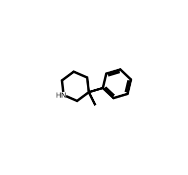 CC1(c2ccccc2)CCCNC1